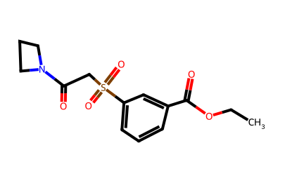 CCOC(=O)c1cccc(S(=O)(=O)CC(=O)N2CCC2)c1